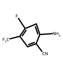 N#Cc1cc(C(F)(F)F)c(F)cc1N